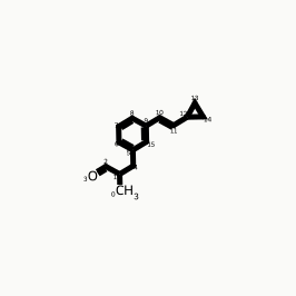 CC(C=O)Cc1cccc(C=CC2CC2)c1